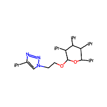 CC(C)c1cn(CCOC2OC(C(C)C)C(C(C)C)C(C(C)C)C2C(C)C)nn1